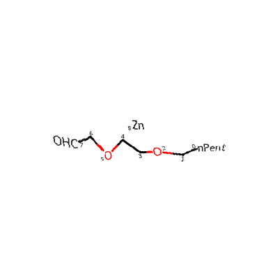 CCCCCCOCCOCC=O.[Zn]